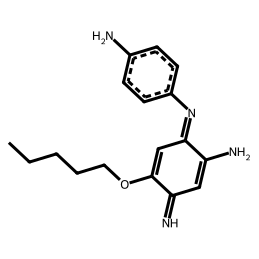 CCCCCOC1=CC(=Nc2ccc(N)cc2)C(N)=CC1=N